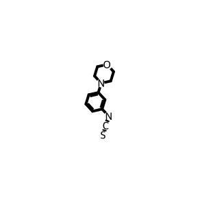 S=C=Nc1cccc(N2CCOCC2)c1